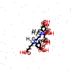 C\C(=C/C=C/C(C)=[N+](\CCCS(=O)(=O)O)c1c(C)cc(S(=O)(=O)O)cc1S(=O)(=O)O)N(CCCCCC(=O)O)c1ccc(S(=O)(=O)O)cc1C